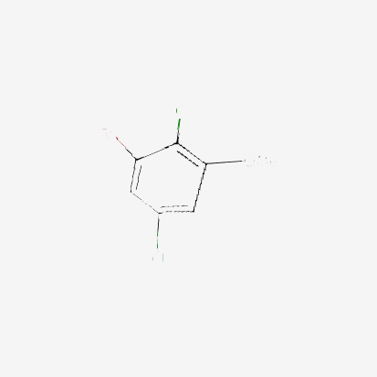 COc1cc(Cl)cc(Br)c1Cl